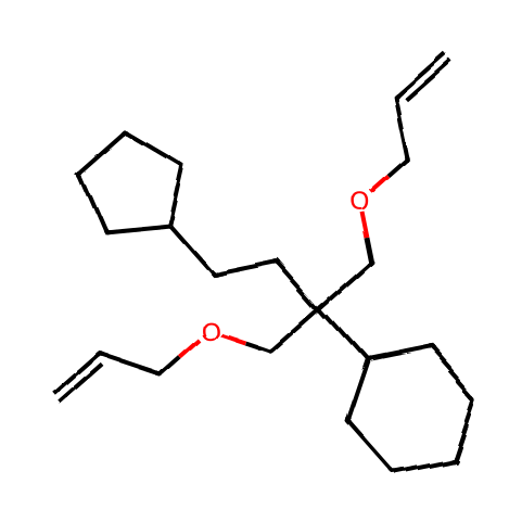 C=CCOCC(CCC1CCCC1)(COCC=C)C1CCCCC1